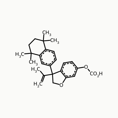 C=C(C)C1(c2ccc3c(c2)C(C)(C)CCC3(C)C)COc2cc(OC(=O)O)ccc21